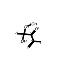 [CH2]C(O)(OO)C(=O)C(=C)C